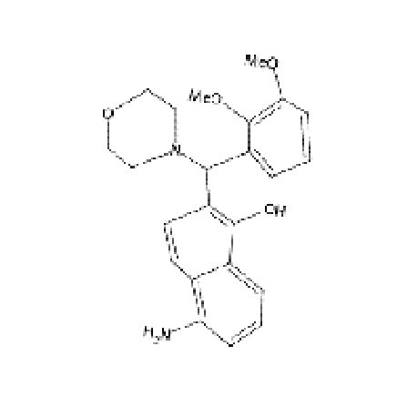 COc1cccc(C(c2ccc3c(N)cccc3c2O)N2CCOCC2)c1OC